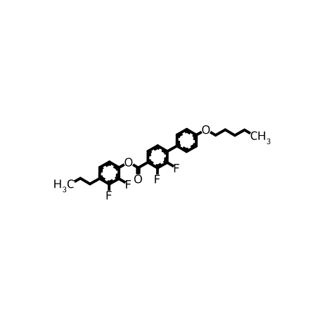 CCCCCOc1ccc(-c2ccc(C(=O)Oc3ccc(CCC)c(F)c3F)c(F)c2F)cc1